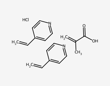 C=C(C)C(=O)O.C=Cc1ccncc1.C=Cc1ccncc1.Cl